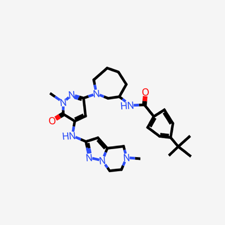 CN1CCn2nc(Nc3cc(N4CCCCC(NC(=O)c5ccc(C(C)(C)C)cc5)C4)nn(C)c3=O)cc2C1